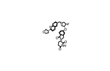 O=C1CCC(N2Cc3cc(O[C@@H]4CN(Cc5ccc6nc([C@H]7CCOC7)ccc6c5)C[C@H]4F)ccc3C2=O)C(=O)N1